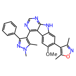 COc1cc2c(cc1-c1c(C)noc1C)[nH]c1ncnc(-c3c(-c4ccccc4)nn(C)c3C)c12